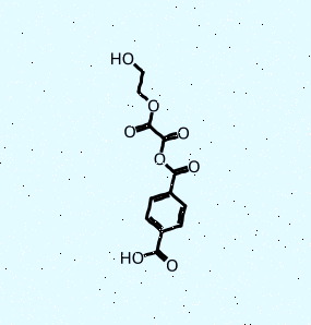 O=C(OCCO)C(=O)OC(=O)c1ccc(C(=O)O)cc1